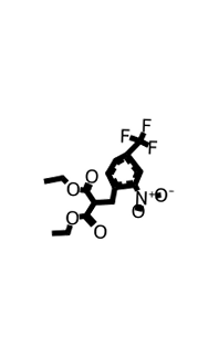 CCOC(=O)C(Cc1ccc(C(F)(F)F)cc1[N+](=O)[O-])C(=O)OCC